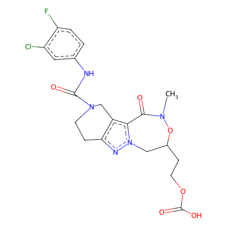 CN1OC(CCOC(=O)O)Cn2nc3c(c2C1=O)CN(C(=O)Nc1ccc(F)c(Cl)c1)CC3